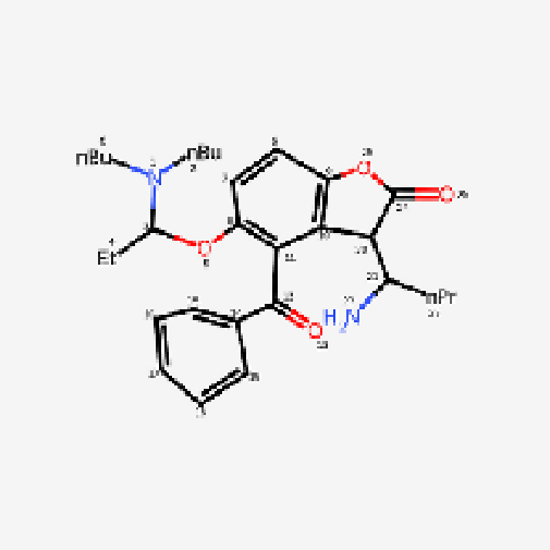 CCCCN(CCCC)C(CC)Oc1ccc2c(c1C(=O)c1ccccc1)C(C(N)CCC)C(=O)O2